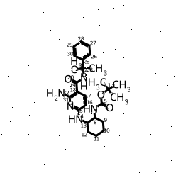 CC(C)(C)OC(=O)NC1CCCCC1Nc1ccc(C(=O)NC(C)(C)c2ccccc2)c(N)n1